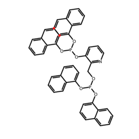 c1cnc(COP(Oc2cccc3ccccc23)Oc2cccc3ccccc23)c(OP(Oc2cccc3ccccc23)Oc2cccc3ccccc23)c1